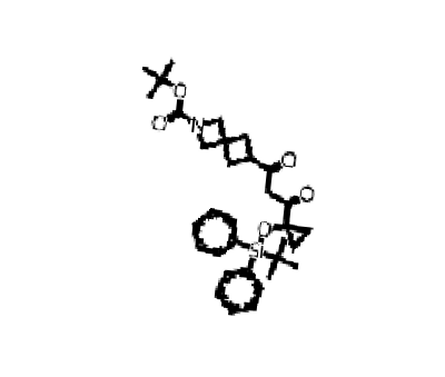 CC(C)(C)OC(=O)N1CC2(CC(C(=O)CC(=O)C3(O[Si](c4ccccc4)(c4ccccc4)C(C)(C)C)CC3)C2)C1